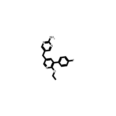 CCOc1ncc(Cc2cnc(N)nc2)cc1-c1ccc(F)cc1